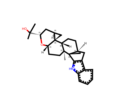 CC(C)(O)[C@@H]1C[C@H]2C[C@@]23[C@H](CC[C@@]2(C)[C@H]3CC[C@H]3Cc4c([nH]c5ccccc45)[C@@]32C)O1